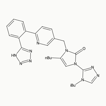 CCCCc1cn(-c2nncn2C(C)CC)c(=O)n1Cc1ccc(-c2ccccc2-c2nnn[nH]2)nc1